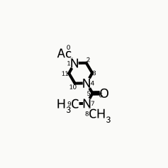 CC(=O)N1CCN(C(=O)N(C)C)CC1